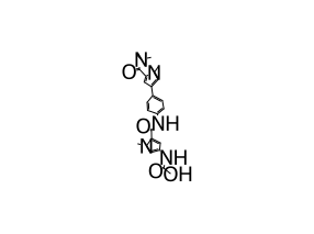 CN(C)C(=O)c1cc(-c2ccc(NC(=O)c3cc(NC(=O)O)cn3C)cc2)cn1C